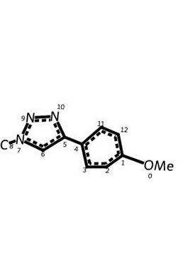 COc1ccc(-c2cn(C(F)(F)F)nn2)cc1